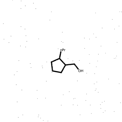 CCCC1CCCC1CO